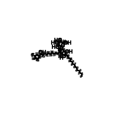 CCCCCCCCCCCCCC[C@@H](O)[C@@H](O)[C@H](CO[C@H]1OC(CO)[C@H](O)[C@H](O)C1O)NC(=O)CCCCCCCCC[C@H](O)c1ccc(C)c(F)c1